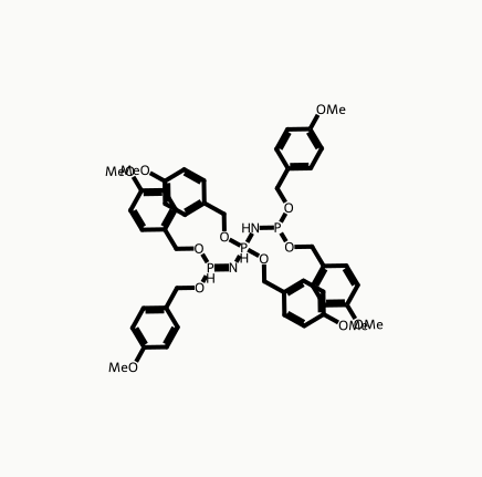 COc1ccc(COP(N[PH](N=[PH](OCc2ccc(OC)cc2)OCc2ccc(OC)cc2)(OCc2ccc(OC)cc2)OCc2ccc(OC)cc2)OCc2ccc(OC)cc2)cc1